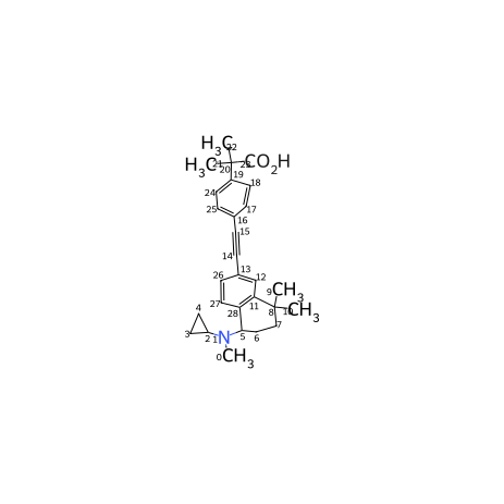 CN(C1CC1)C1CCC(C)(C)c2cc(C#Cc3ccc(C(C)(C)C(=O)O)cc3)ccc21